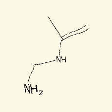 C=C(C)NCN